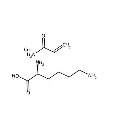 C=CC(N)=O.NCCCC[C@H](N)C(=O)O.[Cu]